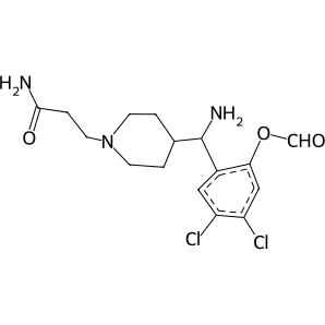 NC(=O)CCN1CCC(C(N)c2cc(Cl)c(Cl)cc2OC=O)CC1